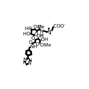 COC1OC(C(=O)NCc2ccc(-c3nncnn3)cc2)[C@@H](OC2OC(C(=O)NCC[N+](C)(C)CCC(=O)[O-])[C@@H](OC)[C@H](O)[C@H]2O)[C@H](O)[C@H]1O